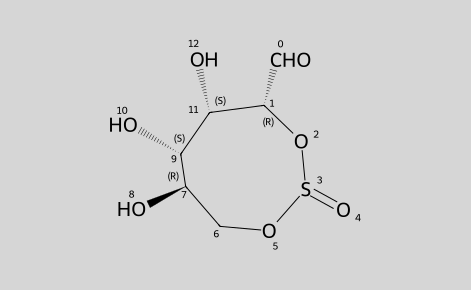 O=C[C@@H]1OS(=O)OC[C@@H](O)[C@H](O)[C@@H]1O